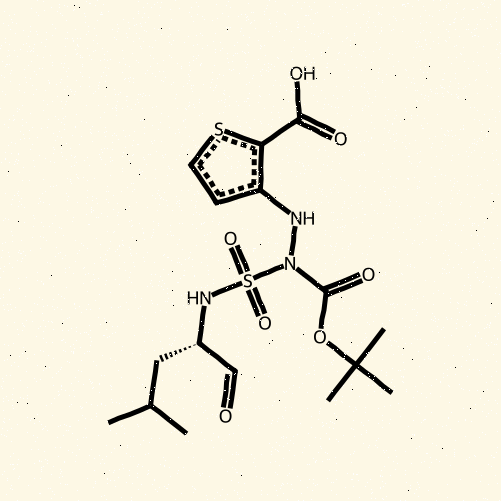 CC(C)C[C@@H](C=O)NS(=O)(=O)N(Nc1ccsc1C(=O)O)C(=O)OC(C)(C)C